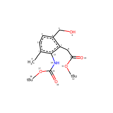 Cc1ccc(CO)c(CC(=O)OC(C)(C)C)c1NC(=O)OC(C)(C)C